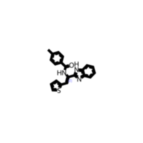 Cc1ccc(C(=O)N/C(=C\c2cccs2)c2nc3ccccc3[nH]2)cc1